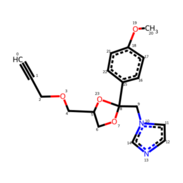 C#CCOCC1COC(Cn2ccnc2)(c2ccc(OC)cc2)O1